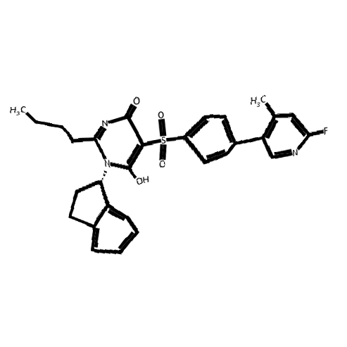 CCCCc1nc(=O)c(S(=O)(=O)c2ccc(-c3cnc(F)cc3C)cc2)c(O)n1[C@H]1CCc2ccccc21